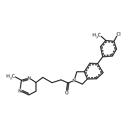 CC1=NC(CCCC(=O)N2Cc3ccc(-c4ccc(Cl)c(C)c4)cc3C2)CC=N1